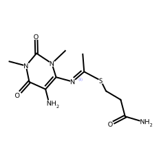 C/C(=N\c1c(N)c(=O)n(C)c(=O)n1C)SCCC(N)=O